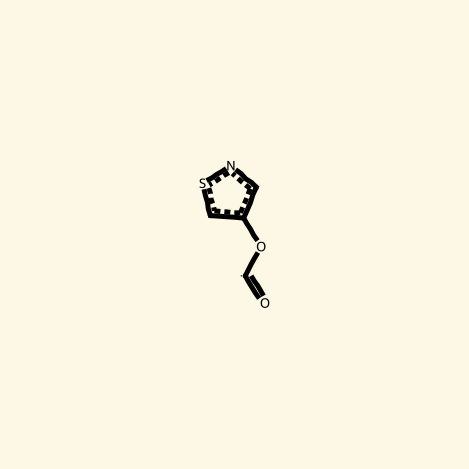 O=[C]Oc1cnsc1